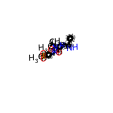 CC(C)CN1C(=O)N(Cc2ccc(S(C)(=O)=O)cc2)C(=O)C12CCN(CC1CNCC1c1ccccc1)CC2